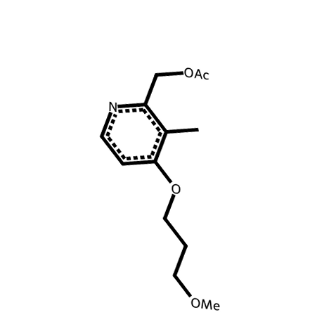 COCCCOc1ccnc(COC(C)=O)c1C